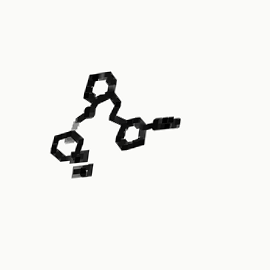 COc1cccc(CCc2ccccc2OC[C@H]2CCCNC2)c1.Cl